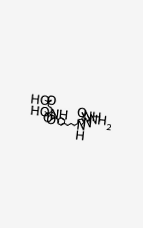 Nc1nc2[nH]c(CCCc3ccc(C(=O)NC(CCC(=O)O)C(=O)O)cc3)cc2c(=O)[nH]1